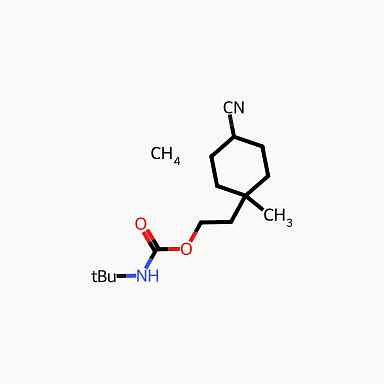 C.CC1(CCOC(=O)NC(C)(C)C)CCC(C#N)CC1